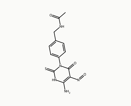 CC(=O)NCc1ccc(-n2c(=S)[nH]c(N)c(N=O)c2=O)cc1